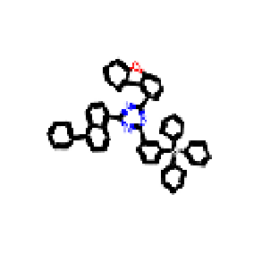 c1ccc(-c2cccc3c(-c4nc(-c5cccc([Si](c6ccccc6)(c6ccccc6)c6ccccc6)c5)nc(-c5cccc6oc7ccccc7c56)n4)cccc23)cc1